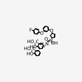 NC(=O)N(O)C1C=CC(Oc2cccc(Oc3ccc(F)cc3)c2)C1.O=C(O)c1ccccc1O.O=C(O)c1ccccc1O